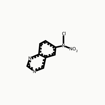 O=[N+]([O-])N(Cl)c1ccc2ncncc2c1